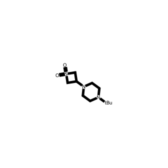 CC(C)(C)N1CCN(C2CS(=O)(=O)C2)CC1